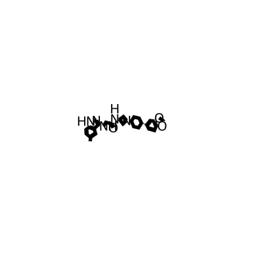 Cc1ccc2[nH]nc(NCC(=O)NC3CN([C@H]4CC[C@@H](c5ccc6c(c5)OCO6)CC4)C3)c2c1